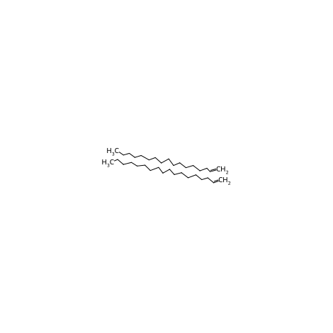 C=CCCCCCCCCCCCCCCC.C=CCCCCCCCCCCCCCCCC